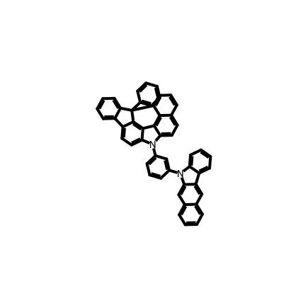 c1ccc(C23c4ccccc4-c4ccc5c(c42)c2c4c3cccc4ccc2n5-c2cccc(-n3c4ccccc4c4cc5ccccc5cc43)c2)cc1